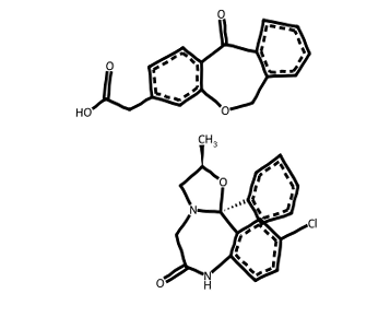 C[C@@H]1CN2CC(=O)Nc3ccc(Cl)cc3[C@]2(c2ccccc2)O1.O=C(O)Cc1ccc2c(c1)OCc1ccccc1C2=O